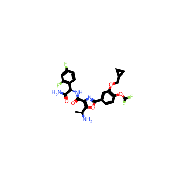 C[C@H](N)c1oc(-c2ccc(OC(F)F)c(OCC3CC3)c2)nc1C(=O)N[C@@H](C(N)=O)c1ccc(F)cc1F